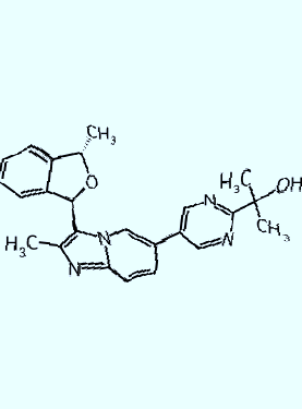 Cc1nc2ccc(-c3cnc(C(C)(C)O)nc3)cn2c1[C@@H]1O[C@@H](C)c2ccccc21